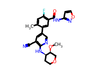 CO[C@H]1COCC[C@H]1Nc1ncc(-c2cc(C(=O)Nc3ccon3)c(F)cc2C)cc1C#N